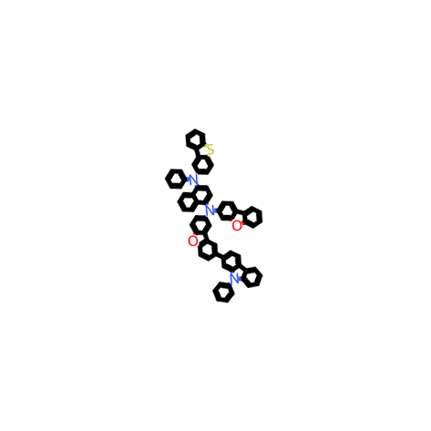 c1ccc(N(c2ccc3sc4ccccc4c3c2)c2ccc(N(c3ccc4c(c3)oc3ccccc34)c3ccc4oc5ccc(-c6ccc7c8ccccc8n(-c8ccccc8)c7c6)cc5c4c3)c3ccccc23)cc1